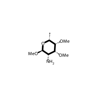 CO[C@H]1O[C@H](C)[C@H](OC)[C@H](OC)[C@@H]1N